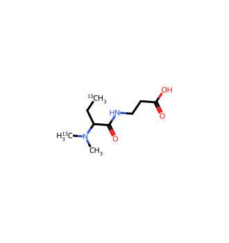 CN([13CH3])C(C[13CH3])C(=O)NCCC(=O)O